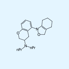 CCCN(CCC)C1COc2cccc(N3OCC4=C3CCCC4)c2C1